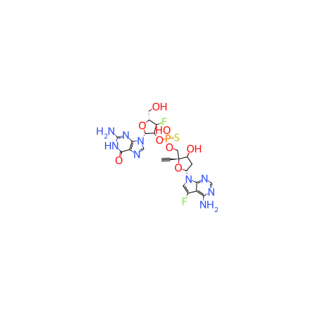 C#C[C@]1(COP(O)(=S)OC2[C@H](n3cnc4c(=O)[nH]c(N)nc43)O[C@H](CO)[C@H]2F)O[C@@H](n2cc(F)c3c(N)ncnc32)C[C@@H]1O